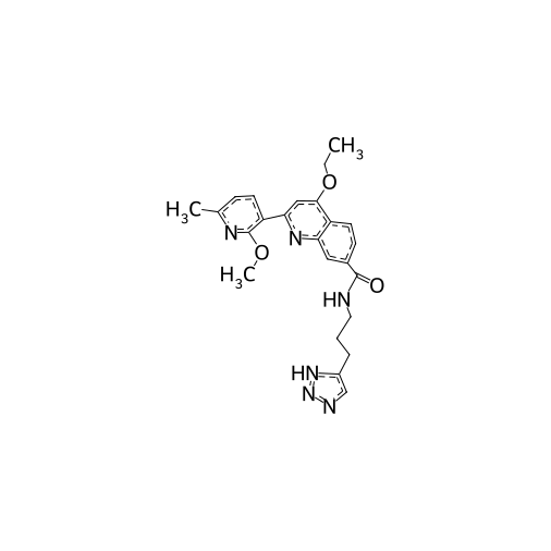 CCOc1cc(-c2ccc(C)nc2OC)nc2cc(C(=O)NCCCc3cnn[nH]3)ccc12